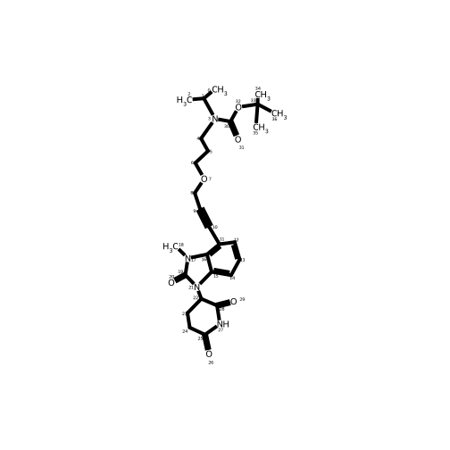 CC(C)N(CCCOCC#Cc1cccc2c1n(C)c(=O)n2C1CCC(=O)NC1=O)C(=O)OC(C)(C)C